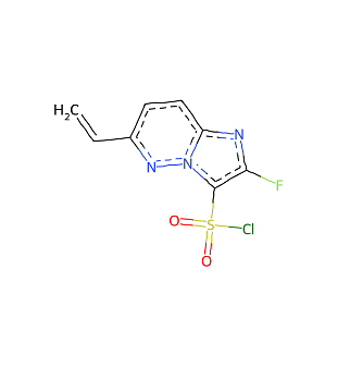 C=Cc1ccc2nc(F)c(S(=O)(=O)Cl)n2n1